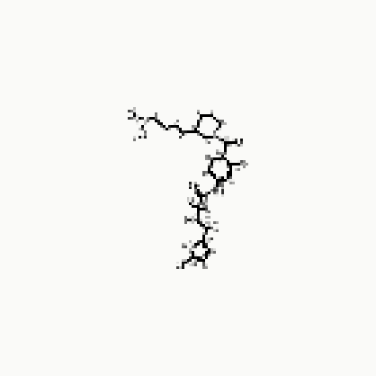 CCN(CC)CCCCC1CCCN(C(=O)c2ccc(NC(=O)C(C)(C)NC(=O)c3ccc(Cl)s3)cc2C)C1